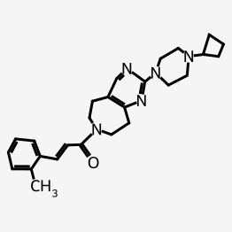 Cc1ccccc1C=CC(=O)N1CCc2cnc(N3CCN(C4CCC4)CC3)nc2CC1